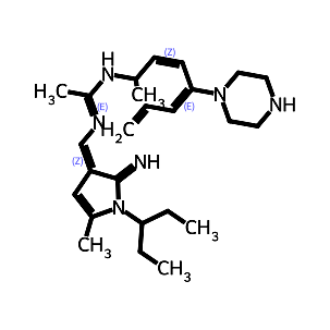 C=C/C=C(\C=C/C(C)N/C(C)=N/C=C1/C=C(C)N(C(CC)CC)C1=N)N1CCNCC1